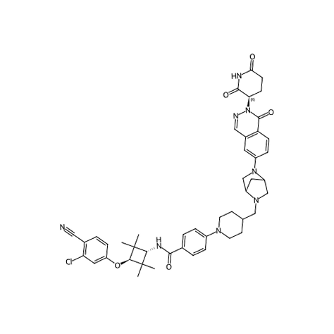 CC1(C)[C@H](NC(=O)c2ccc(N3CCC(CN4CC5CC4CN5c4ccc5c(=O)n([C@@H]6CCC(=O)NC6=O)ncc5c4)CC3)cc2)C(C)(C)[C@H]1Oc1ccc(C#N)c(Cl)c1